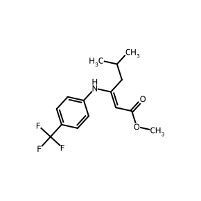 COC(=O)C=C(CC(C)C)Nc1ccc(C(F)(F)F)cc1